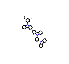 CCc1cc(C)cc(-n2c3ccccc3c3cc(-c4ccc5c(c4)c4ccccc4n5-c4cccc(-n5c6ccccc6c6ccccc65)c4)ccc32)c1